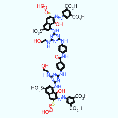 O=C(O)c1cc(N=Nc2c(SOOO)cc3cc(S(=O)(=O)O)cc(Nc4nc(NCCO)nc(Nc5ccc(NC(=O)c6ccc(Nc7nc(NCCO)nc(Nc8cc(S(=O)(=O)O)cc9cc(SOOO)c(N=Nc%10cc(C(=O)O)cc(C(=O)O)c%10)c(O)c89)n7)cc6)cc5)n4)c3c2O)cc(C(=O)O)c1